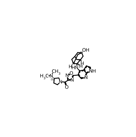 CN(C)[C@H]1CCN(C(=O)c2noc(-c3cnc4[nH]ccc4c3N[C@H]3[C@@H]4CC5C[C@H]3C[C@@](O)(C5)C4)n2)C1